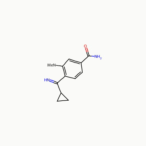 CNc1cc(C(N)=O)ccc1C(=N)C1CC1